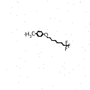 [CH2]c1ccc(OCCCCCCCC(F)(F)F)cc1